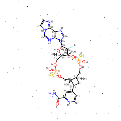 NC(=O)c1cc([C@@H]2C[C@@H]3COP(=O)(S)O[C@H]4[C@@H](F)[C@H](n5cnc6c5ncn5ccnc65)O[C@@H]4COP(=O)(S)OC[C@H]32)ccn1